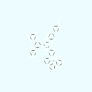 Fc1ccc(-c2ccc(-c3nc(-c4cc(-c5ccccc5)cc(-c5ccccc5)c4)nc(-c4ccc5c(c4)-c4ccccc4C(c4ccccc4)(c4ccccc4)O5)n3)cc2)cc1